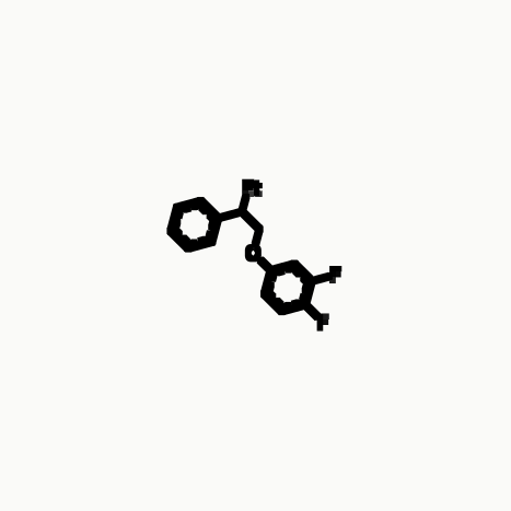 CCC(COc1ccc(F)c(F)c1)c1ccccc1